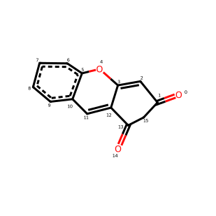 O=C1C=C2Oc3ccccc3C=C2C(=O)C1